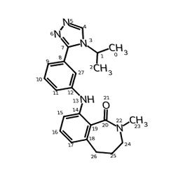 CC(C)n1cnnc1-c1cccc(Nc2cccc3c2C(=O)N(C)CCC3)c1